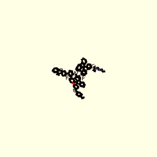 C=C/C=C/C=C(\C=C)Oc1ccc(C2(c3ccc(F)cc3)C3=C(CCC=C3)c3ccc(N(c4ccc(-c5ccc6c(c5)Oc5ccccc5C6(C)C)cc4)c4ccc5c(c4)C(c4ccc(F)cc4)(c4ccc(Oc6ccc(C=C)cc6)cc4)c4ccccc4-5)cc32)cc1